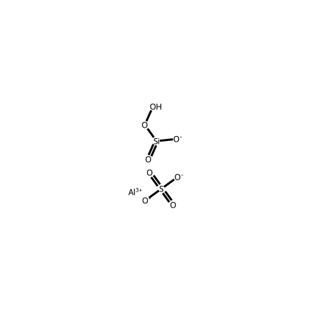 O=S(=O)([O-])[O-].O=[Si]([O-])OO.[Al+3]